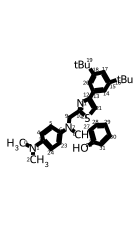 CN(C)c1ccc(N(C)Cc2nc(-c3cc(C(C)(C)C)cc(C(C)(C)C)c3)cs2)cc1.Oc1ccccc1